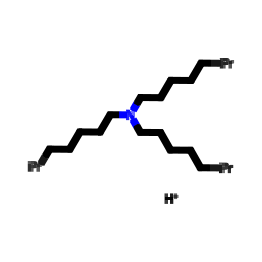 CC(C)CCCCCN(CCCCCC(C)C)CCCCCC(C)C.[H+]